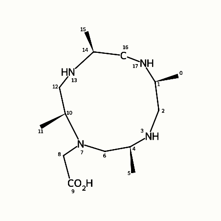 C[C@H]1CN[C@@H](C)CN(CC(=O)O)[C@@H](C)CN[C@@H](C)CN1